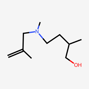 C=C(C)CN(C)CCC(C)CO